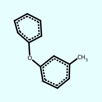 Cc1cc[c]c(Oc2ccccc2)c1